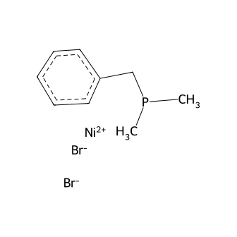 CP(C)Cc1ccccc1.[Br-].[Br-].[Ni+2]